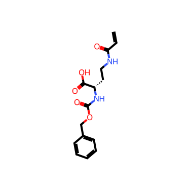 C=CC(=O)NCC[C@H](NC(=O)OCc1ccccc1)C(=O)O